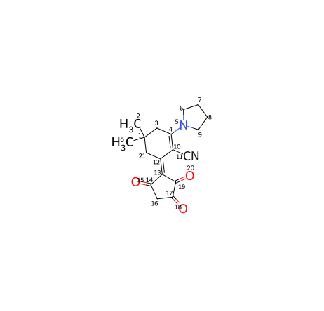 CC1(C)CC(N2CCCC2)=C(C#N)/C(=C2/C(=O)CC(=O)C2=O)C1